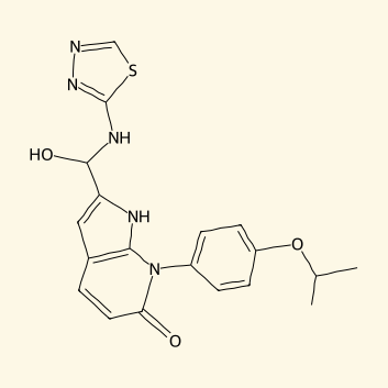 CC(C)Oc1ccc(-n2c(=O)ccc3cc(C(O)Nc4nncs4)[nH]c32)cc1